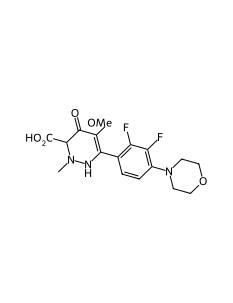 COC1=C(c2ccc(N3CCOCC3)c(F)c2F)NN(C)C(C(=O)O)C1=O